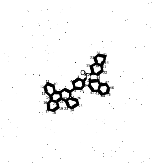 O=P(c1ccc(-c2cc3c4ccccc4c4ccccc4c3c3ccccc23)cc1)(c1ccc2ccccc2c1)c1ccc2ccccc2c1